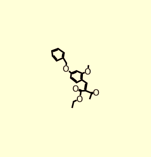 CCOC(=O)C(=Cc1ccc(OCc2ccccc2)cc1OC)C(C)=O